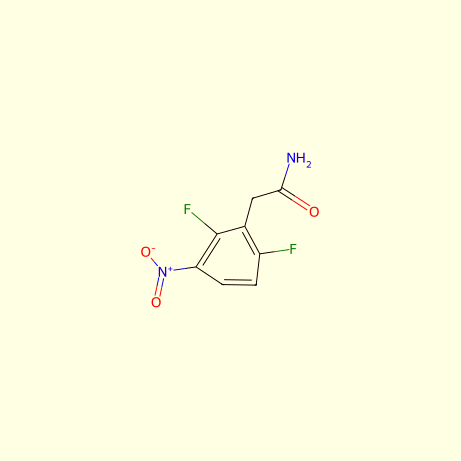 NC(=O)Cc1c(F)ccc([N+](=O)[O-])c1F